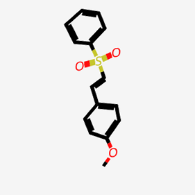 COc1ccc(C=CS(=O)(=O)c2ccccc2)cc1